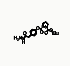 CC(C)(C)OC(=O)N1CCC[C@H]1C(=O)Oc1ccc(CC(=O)NN)cc1